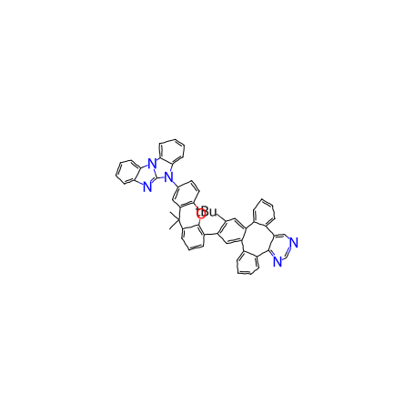 CC(C)(C)c1cc2c(cc1-c1cccc3c1Oc1ccc(-n4c5ccccc5n5c6ccccc6nc45)cc1C3(C)C)-c1ccccc1-c1ncncc1-c1ccccc1-2